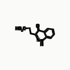 O=C(O)CCc1n[nH]c2ccccc2c1=O